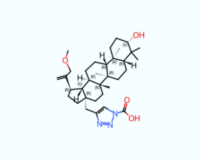 C=C(COC)[C@@H]1CC[C@]2(Cc3cn(C(=O)O)nn3)CC[C@]3(C)[C@H](CC[C@@H]4[C@@]5(C)CC[C@H](O)C(C)(C)[C@@H]5CC[C@]43C)[C@@H]12